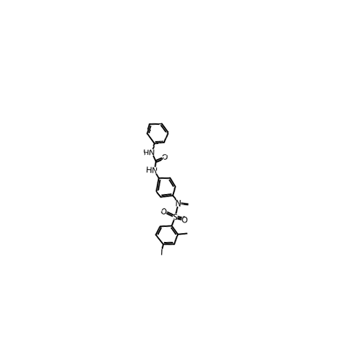 Cc1cc(I)ccc1S(=O)(=O)N(C)c1ccc(NC(=O)Nc2ccccc2)cc1